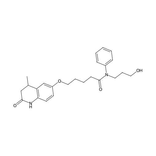 CC1CC(=O)Nc2ccc(OCCCCC(=O)N(CCCO)c3ccccc3)cc21